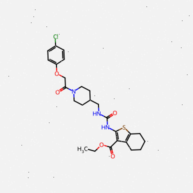 CCOC(=O)c1c(NC(=O)NCC2CCN(C(=O)COc3ccc(Cl)cc3)CC2)sc2c1CCCC2